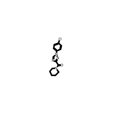 O=C(c1ncn(-c2ccc(Cl)cc2)n1)N1CCCCC1